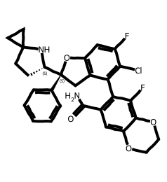 NC(=O)c1cc2c(c(F)c1-c1c(Cl)c(F)cc3c1C[C@](c1ccccc1)([C@@H]1CCC4(CC4)N1)O3)OCCO2